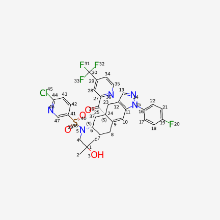 CC(C)(O)CN([C@H]1CCC2=Cc3c(cnn3-c3ccc(F)cc3)C[C@]2(C(=O)c2cc(C(F)(F)F)ccn2)C1)S(=O)(=O)c1ccc(Cl)nc1